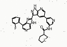 O=C(Nc1cncc(-c2cnc3[nH]nc(-c4nc5c(-c6ccccc6F)cncc5[nH]4)c3c2)c1)C1CCCCC1